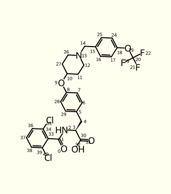 O=C(N[C@@H](Cc1ccc(OC2CCN(Cc3ccc(OC(F)(F)F)cc3)CC2)cc1)C(=O)O)c1c(Cl)cccc1Cl